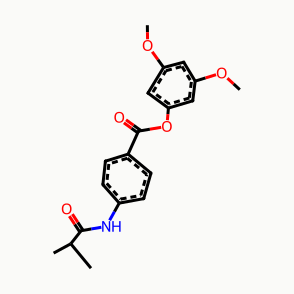 COc1cc(OC)cc(OC(=O)c2ccc(NC(=O)C(C)C)cc2)c1